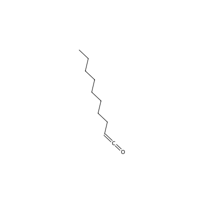 CCCCCCCCC=C=O